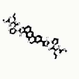 CCC[C@H](NC(=O)OC)C(=O)N1CCC[C@H]1c1ncc(-c2ccc3c(c2)COc2cc4c(ccc5nc([C@@H]6CC[C@H](C)N6C(=O)[C@H](CCC)NC(=O)OC)[nH]c54)cc2-3)[nH]1